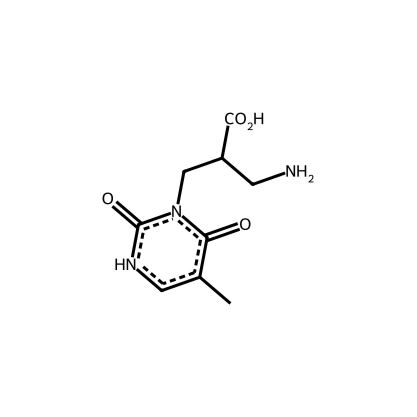 Cc1c[nH]c(=O)n(CC(CN)C(=O)O)c1=O